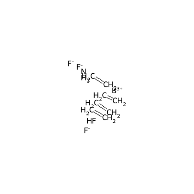 C=C.C=C.C=C.C=C.F.N.[B+3].[F-].[F-].[F-]